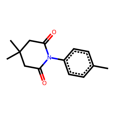 Cc1ccc(N2C(=O)CC(C)(C)CC2=O)cc1